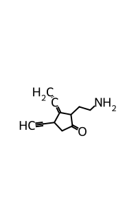 C#CC1CC(=O)C(CCN)C1=C=C